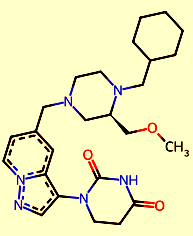 COC[C@H]1CN(Cc2ccn3ncc(N4CCC(=O)NC4=O)c3c2)CCN1CC1CCCCC1